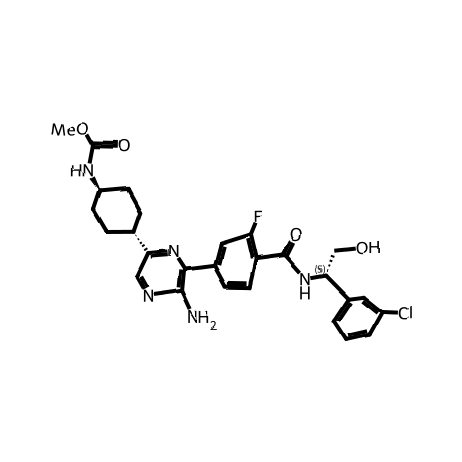 COC(=O)N[C@H]1CC[C@H](c2cnc(N)c(-c3ccc(C(=O)N[C@H](CO)c4cccc(Cl)c4)c(F)c3)n2)CC1